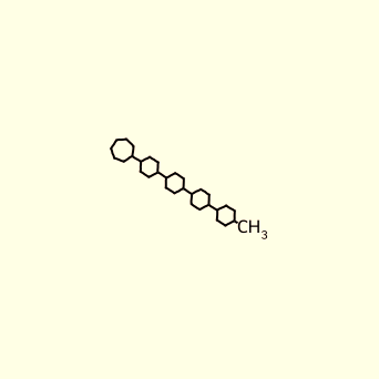 CC1CCC(C2CCC(C3CCC(C4CCC(C5CCCCCC5)CC4)CC3)CC2)CC1